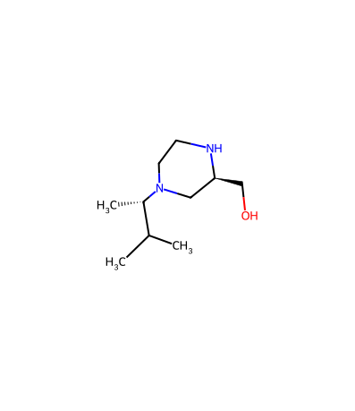 CC(C)[C@H](C)N1CCN[C@@H](CO)C1